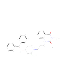 CC(C)(C)n1c(=O)c2ccccc2n(CCCN2CCC(OC(c3ccccc3)c3ccccc3)CC2)c1=O.Cl